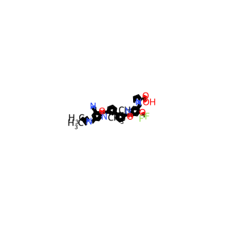 Cc1c(-c2nc3cc(CN4CCC[C@H]4C(=O)O)c(OC(F)F)cc3o2)cccc1-c1cccc(-c2nc3cc(CN4CC(C)(C)C4)cc(C#N)c3o2)c1C